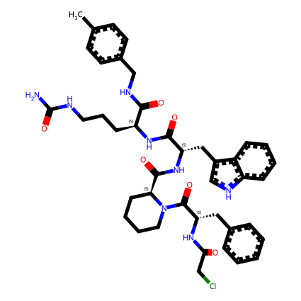 Cc1ccc(CNC(=O)[C@H](CCCNC(N)=O)NC(=O)[C@H](Cc2c[nH]c3ccccc23)NC(=O)[C@@H]2CCCCN2C(=O)[C@H](Cc2ccccc2)NC(=O)CCl)cc1